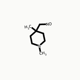 CN1CCC(C)(CN=O)CC1